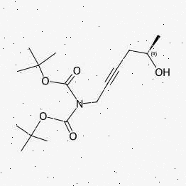 C[C@@H](O)CC#CCN(C(=O)OC(C)(C)C)C(=O)OC(C)(C)C